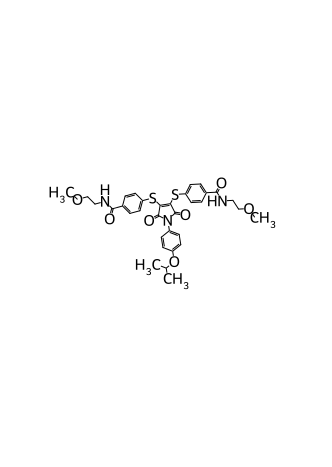 COCCNC(=O)c1ccc(SC2=C(Sc3ccc(C(=O)NCCOC)cc3)C(=O)N(c3ccc(OC(C)C)cc3)C2=O)cc1